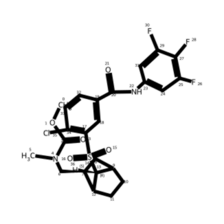 COC(=O)N(C)C[C@H]1CC2CCC1[C@@H]2S(=O)(=O)c1cc(C(=O)Nc2cc(F)c(F)c(F)c2)ccc1Cl